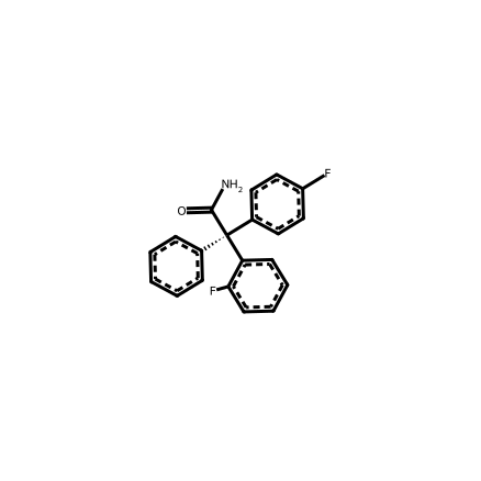 NC(=O)[C@@](c1ccccc1)(c1ccc(F)cc1)c1ccccc1F